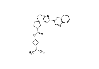 CN(C)C1CC(NC(=O)N2CCC3(CCn4nc(-c5cnc6c(c5)CCC=C6)cc43)C2)C1